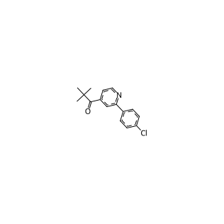 CC(C)(C)C(=O)c1ccnc(-c2ccc(Cl)cc2)c1